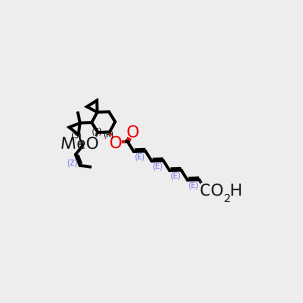 C/C=C\C[C@H]1CC1(C)C1[C@H](OC)[C@H](OC(=O)/C=C/C=C/C=C/C=C/C(=O)O)CCC12CC2